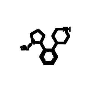 CC(C)(C)N1CCCC1c1ccccc1C1CCNCC1